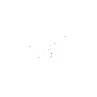 CCC(=O)C(NC(=O)OC)C1CCOC2(CC2)C1